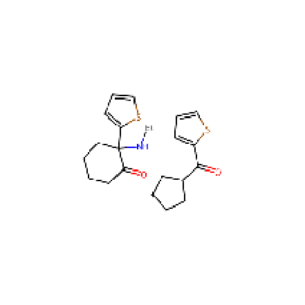 CCNC1(c2cccs2)CCCCC1=O.O=C(c1cccs1)C1CCCC1